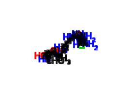 C[C@H](CCCN1CCC(CCCCNC(=N)NC(=O)c2nc(Cl)c(N)nc2N)CC1)NC[C@H](O)c1ccc(O)c(NC=O)c1